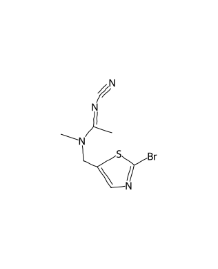 C/C(=N\C#N)N(C)Cc1cnc(Br)s1